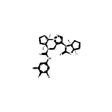 C[C@]12CCC[C@H]1OC(=O)N2c1cnn2c1CN(C(=O)Nc1cc(F)c(F)c(F)c1)[C@H]1CCC[C@H]12